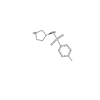 Cc1ccc(S(=O)(=O)N[C@H]2CCNC2)cc1